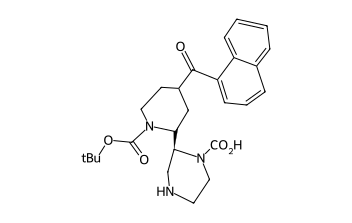 CC(C)(C)OC(=O)N1CCC(C(=O)c2cccc3ccccc23)CC1[C@@H]1CNCCN1C(=O)O